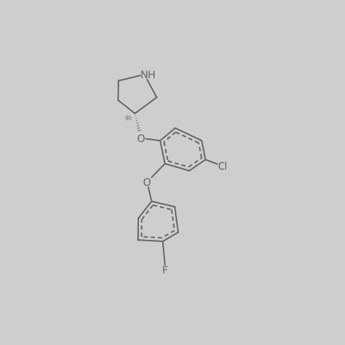 Fc1ccc(Oc2cc(Cl)ccc2O[C@@H]2CCNC2)cc1